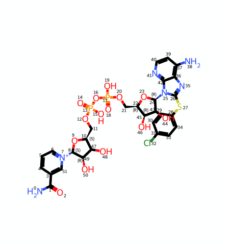 NC(=O)c1ccc[n+]([C@H]2O[C@@H](COP(=O)(O)OP(=O)(O)OC[C@H]3O[C@@H](n4c(Sc5ccc(Cl)cc5)nc5c(N)ccnc54)C(O)[C@H]3O)C(O)[C@H]2O)c1